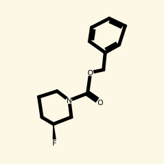 O=C(OCc1ccccc1)N1CCC[C@H](F)C1